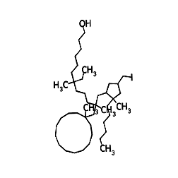 CCCCCCC1(C)CC(CI)CC1CC(C)(CCCC(C)(CC)CCCCCCO)CC1(C)CCCCCCCCCCCC1